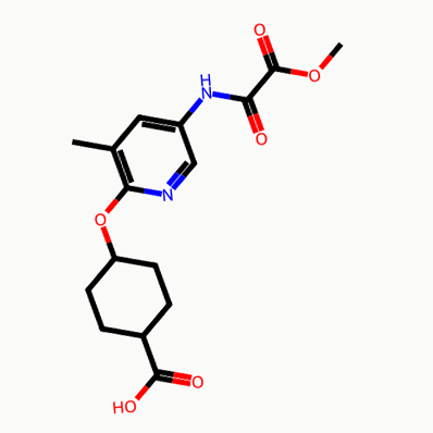 COC(=O)C(=O)Nc1cnc(OC2CCC(C(=O)O)CC2)c(C)c1